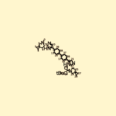 CN1CC2(CC2)C[C@H]1c1ncc(-c2ccc(-c3ccc(-c4cnc([C@@H]5CC6(CC6)CN5C(=O)OC(C)(C)C)[nH]4)cc3)cc2)[nH]1